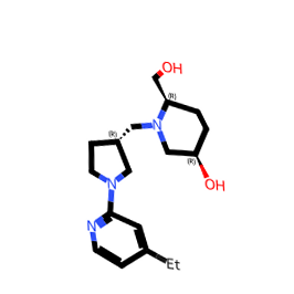 CCc1ccnc(N2CC[C@H](CN3C[C@H](O)CC[C@@H]3CO)C2)c1